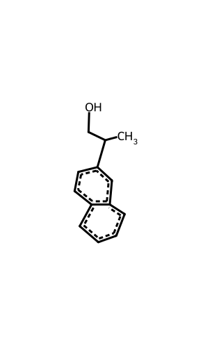 CC(CO)c1ccc2ccccc2c1